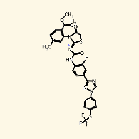 COC(C)c1ccc(C)cc1N1C(=O)CS/C1=N\C(=O)Nc1ccc(-c2ncn(-c3ccc(SC(F)(F)F)cc3)n2)cc1F